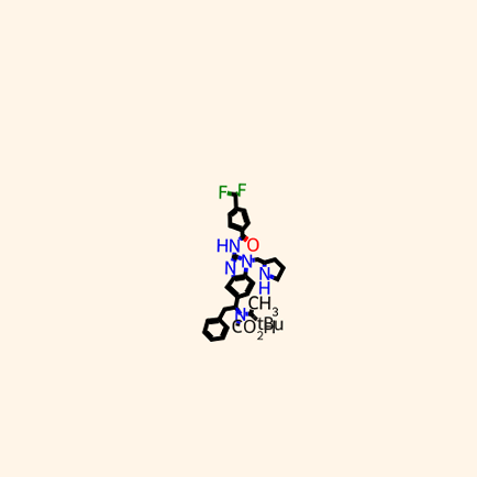 CC(N(C(=O)O)C(Cc1ccccc1)c1ccc2c(c1)nc(NC(=O)c1ccc(C(F)F)cc1)n2CC1CCCN1)C(C)(C)C